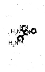 Nc1ccc(-c2cn(C3CCCC3)c3ncnc(N)c23)cn1